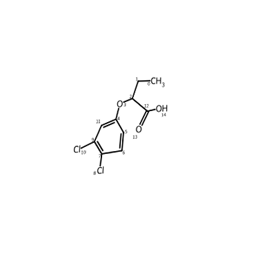 CCC(Oc1ccc(Cl)c(Cl)c1)C(=O)O